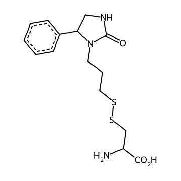 NC(CSSCCCN1C(=O)NCC1c1ccccc1)C(=O)O